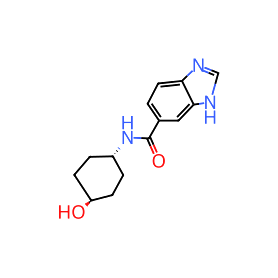 O=C(N[C@H]1CC[C@H](O)CC1)c1ccc2nc[nH]c2c1